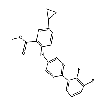 COC(=O)c1cc(C2CC2)ccc1Nc1cnc(-c2cccc(F)c2F)nc1